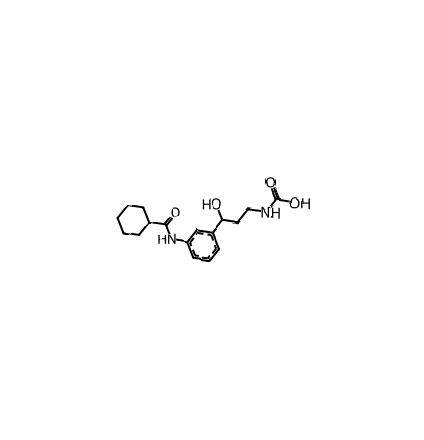 O=C(O)NCCC(O)c1cccc(NC(=O)C2CCCCC2)c1